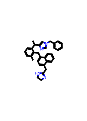 Cc1cccc(C(C)c2cn(Cc3ccccc3)cn2)c1Cc1ccc(CC2=NCCN2)c2ccccc12